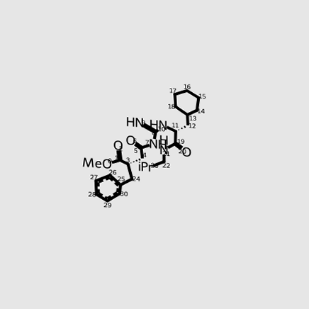 COC(=O)[C@H](CC(=O)NC(=N)N[C@H](CC1CCCCC1)C(=O)NCC(C)C)Cc1ccccc1